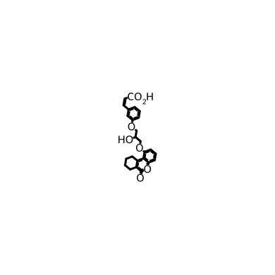 O=C(O)/C=C\c1cccc(OCC(O)COc2cccc3oc(=O)c4c(c23)CCCC4)c1